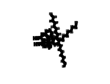 CCCCCCCCc1cc(S(=O)(=O)O)c(-c2ccccc2)c(CCCCCCCC)c1CCCCCCCC.N=C(N)NC(=N)N